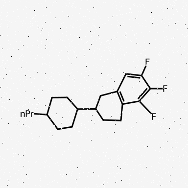 CCCC1CCC(C2CCc3c(cc(F)c(F)c3F)C2)CC1